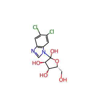 OC[C@H]1OC(O)(n2cnc3cc(Cl)c(Cl)cc32)[C@H](O)[C@@H]1O